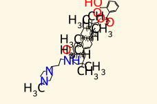 CN1CCN(CCCNC(=O)[C@]23CCC(C)(C)C[C@H]2C2=CC[C@@H]4[C@@]5(C)CCC(OC(=O)c6ccccc6C(=O)O)C(C)(C)[C@@H]5CC[C@@]4(C)[C@]2(C)CC3)CC1